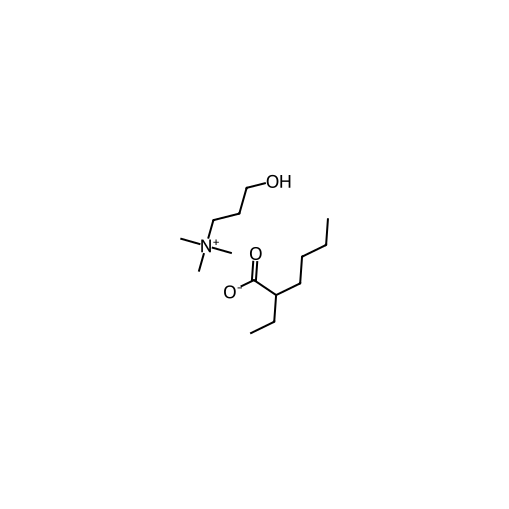 CCCCC(CC)C(=O)[O-].C[N+](C)(C)CCCO